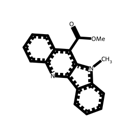 COC(=O)c1c2ccccc2nc2c3ccccc3n(C)c12